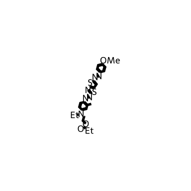 CCC(=O)OCCN(CC)c1ccc(N=Nc2nc3sc(N=Nc4ccc(OC)cc4)cc3s2)c(C)c1